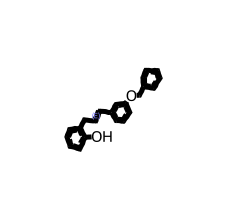 Oc1ccccc1C/C=C/c1cccc(OCc2ccccc2)c1